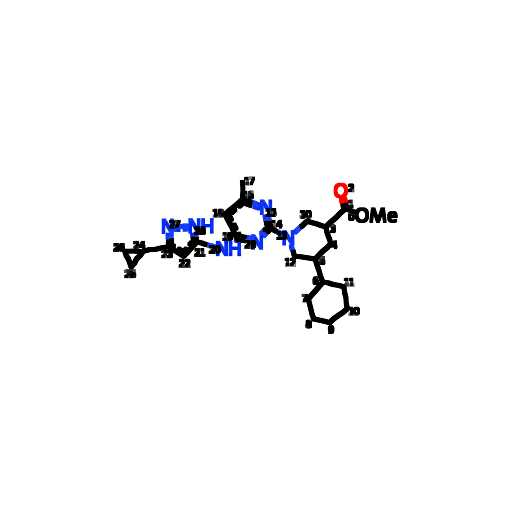 COC(=O)C1CC(C2CCCCC2)CN(c2nc(C)cc(Nc3cc(C4CC4)n[nH]3)n2)C1